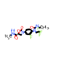 CCN=c1oc2cc(N3C[C@H](C(=O)NC)OC3=O)cc(F)c2n1CC(F)(F)F